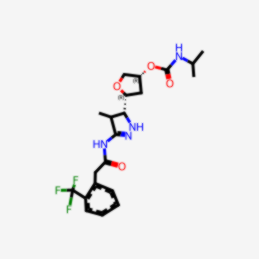 CC(C)NC(=O)O[C@H]1CO[C@@H](C2NN=C(NC(=O)Cc3ccccc3C(F)(F)F)C2C)C1